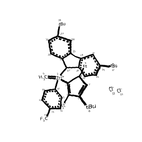 [CH2]=[Zr+2]([C]1=C(CC)C(C(C)(C)C)=CC1CC)([c]1ccc(C(F)(F)F)cc1)[CH]1c2ccc(C(C)(C)C)cc2-c2cc(C(C)(C)C)ccc21.[Cl-].[Cl-]